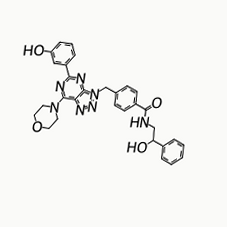 O=C(NCC(O)c1ccccc1)c1ccc(Cn2nnc3c(N4CCOCC4)nc(-c4cccc(O)c4)nc32)cc1